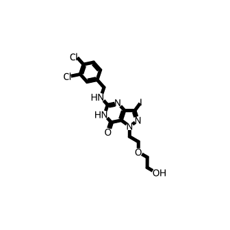 O=c1[nH]c(NCc2ccc(Cl)c(Cl)c2)nc2c(I)nn(CCOCCO)c12